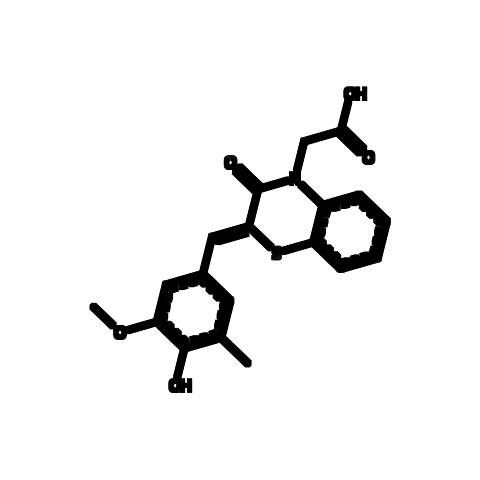 COc1cc(C=C2Sc3ccccc3N(CC(=O)O)C2=O)cc(C)c1O